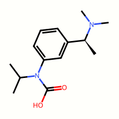 CC(C)N(C(=O)O)c1cccc([C@H](C)N(C)C)c1